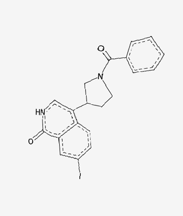 O=C(c1ccccc1)N1CCC(c2c[nH]c(=O)c3cc(I)ccc23)C1